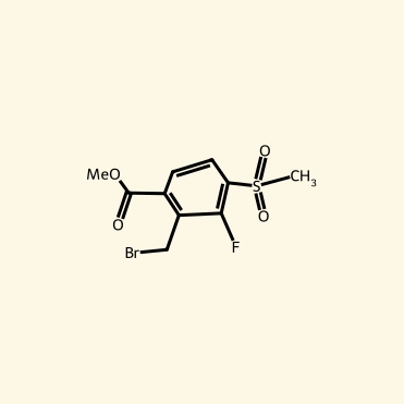 COC(=O)c1ccc(S(C)(=O)=O)c(F)c1CBr